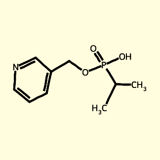 CC(C)P(=O)(O)OCc1cccnc1